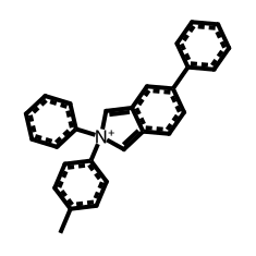 Cc1ccc([N+]2(c3ccccc3)C=c3ccc(-c4ccccc4)cc3=C2)cc1